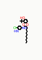 CCCCCCCCCCC(Oc1ccc(O)c(C(C)(C)C)c1)C(=O)Nc1ccc(Cl)c([NH])c1